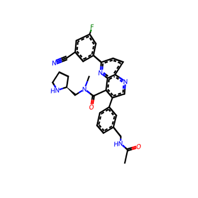 CC(=O)NCc1cccc(-c2cnc3ccc(-c4cc(F)cc(C#N)c4)nc3c2C(=O)N(C)C[C@@H]2CCCN2)c1